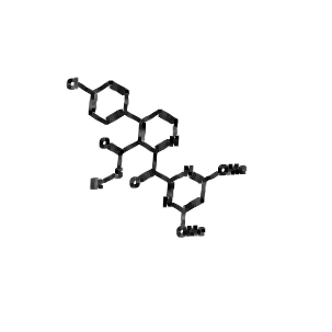 CCSC(=O)c1c(-c2ccc(Cl)cc2)ccnc1C(=O)c1nc(OC)cc(OC)n1